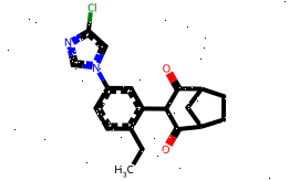 CCc1ccc(-n2cnc(Cl)c2)cc1C1C(=O)C2CCC(C2)C1=O